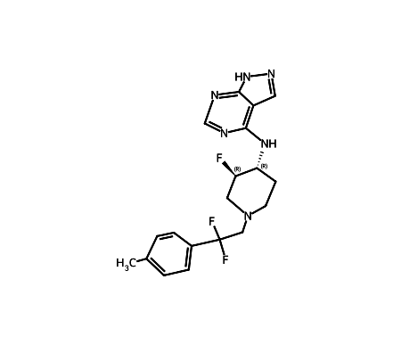 Cc1ccc(C(F)(F)CN2CC[C@@H](Nc3ncnc4[nH]ncc34)[C@H](F)C2)cc1